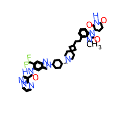 Cn1c(=O)n(C2CCC(=O)NC2=O)c2cccc(CCC3CC4(CCN(C[C@H]5CC[C@H](n6cc7cc(NC(=O)c8cnn9cccnc89)c(C(F)F)cc7n6)CC5)CC4)C3)c21